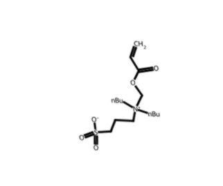 C=CC(=O)OC[N+](CCCC)(CCCC)CCCS(=O)(=O)[O-]